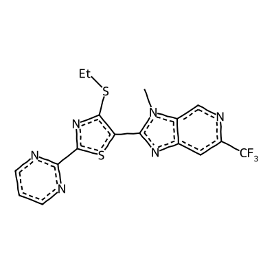 CCSc1nc(-c2ncccn2)sc1-c1nc2cc(C(F)(F)F)ncc2n1C